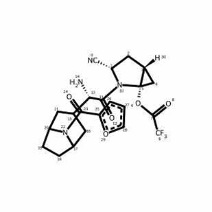 N#C[C@@H]1C[C@@H]2C[C@@]2(OC(=O)C(F)(F)F)N1C(=O)[C@@H](N)C1CC2CCC(C1)N2C(=O)c1ccco1